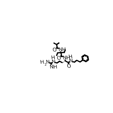 CCC(CC)(NC(=O)C(C)C)C(=O)N[C@@H](CCCNC(=N)N)C(=O)NCCCc1ccccc1